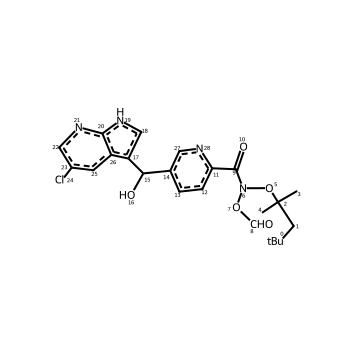 CC(C)(C)CC(C)(C)ON(OC=O)C(=O)c1ccc(C(O)c2c[nH]c3ncc(Cl)cc23)cn1